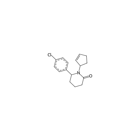 O=C1CCCC(c2ccc(Cl)cc2)N1C1C=CCC1